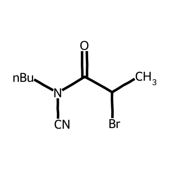 CCCCN(C#N)C(=O)C(C)Br